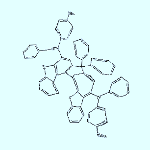 CC(C)(C)c1ccc(N(c2ccccc2)c2cc3c(c4c2sc2ccccc24)-c2c(cc(N(c4ccccc4)c4ccc(C(C)(C)C)cc4)c4c2sc2ccccc24)C3(c2ccccc2)c2ccccc2)cc1